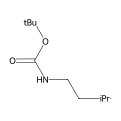 C[C](C)CCNC(=O)OC(C)(C)C